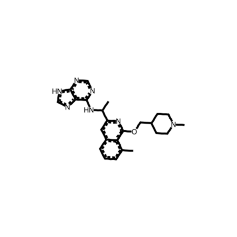 Cc1cccc2cc(C(C)Nc3ncnc4[nH]cnc34)nc(OCC3CCN(C)CC3)c12